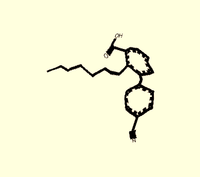 CCCCCCCc1c(C(=O)O)cccc1-c1ccc(C#N)cc1